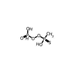 CP(O)(=S)OO[PH](=O)O